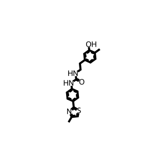 Cc1csc(-c2ccc(NC(=O)NCCc3ccc(C)c(O)c3)cc2)n1